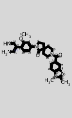 COc1cc(N2CCC3(CCN(C(=O)c4ccc5c(c4)nc(C)n5C)CC3)C2=O)ccc1/C(C=N)=C/N